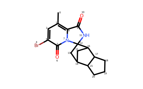 Cc1cc(Br)c(=O)n2c1C(=O)NC21CC2CC1C1CCCC21